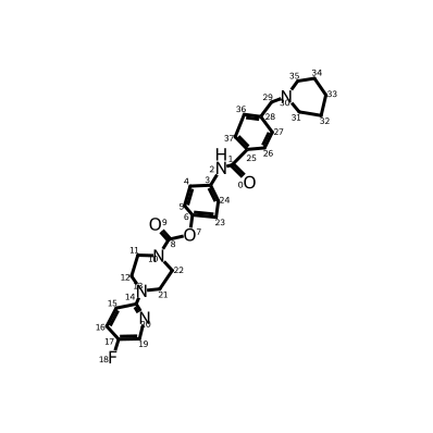 O=C(Nc1ccc(OC(=O)N2CCN(c3ccc(F)cn3)CC2)cc1)c1ccc(CN2CCCCC2)cc1